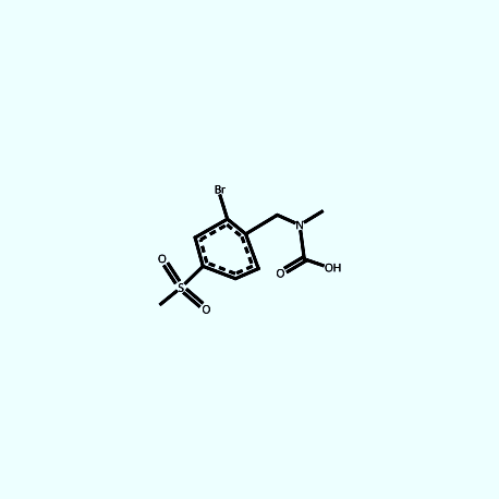 CN(Cc1ccc(S(C)(=O)=O)cc1Br)C(=O)O